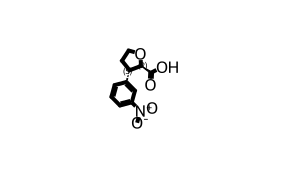 O=C(O)[C@@H]1OCC[C@H]1c1cccc([N+](=O)[O-])c1